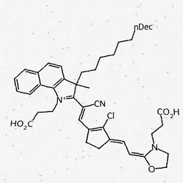 CCCCCCCCCCCCCCCCC1(C)C(/C(C#N)=C/C2=C(Cl)C(=C/C=C3/OCCN3CCC(=O)O)/CC2)=[N+](CCC(=O)O)c2c1ccc1ccccc21